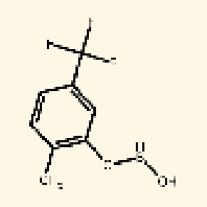 Cc1ccc(C(F)(F)F)cc1OBO